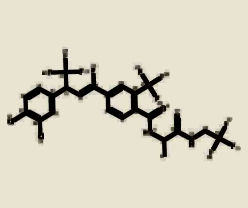 CC(NC(=O)c1ccc(/C(F)=C/C(c2ccc(Cl)c(Cl)c2)C(F)(F)F)cc1C(F)(F)F)C(=O)NCC(F)(F)F